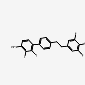 CCCc1ccc(-c2ccc(CCc3cc(F)c(F)c(F)c3)cc2)c(F)c1F